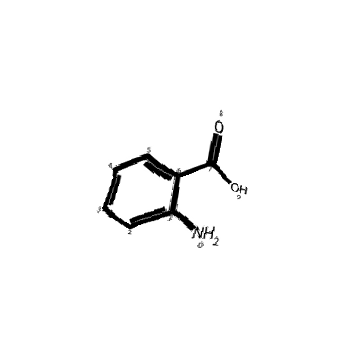 Nc1c[c]ccc1C(=O)O